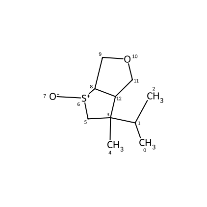 CC(C)C1(C)C[S+]([O-])C2COCC21